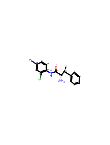 C[C@@H](c1ccccc1)[C@H](N)C(=O)Nc1ccc(I)cc1F